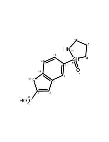 O=C(O)c1cc2cc([SH]3(=O)CCCN3)ccc2s1